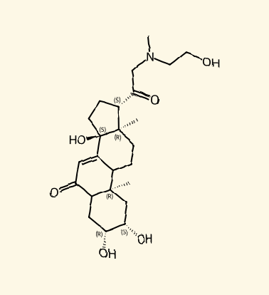 CN(CCO)CC(=O)[C@H]1CC[C@@]2(O)C3=CC(=O)C4C[C@@H](O)[C@@H](O)C[C@]4(C)C3CC[C@]12C